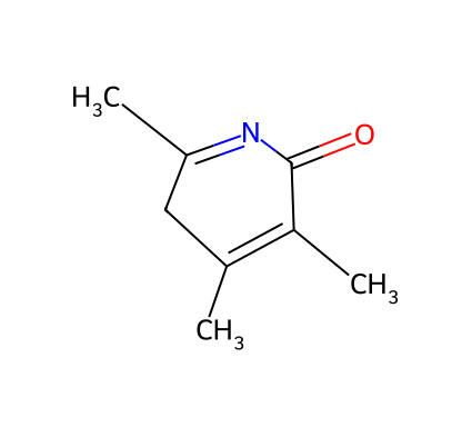 CC1=NC(=O)C(C)=C(C)C1